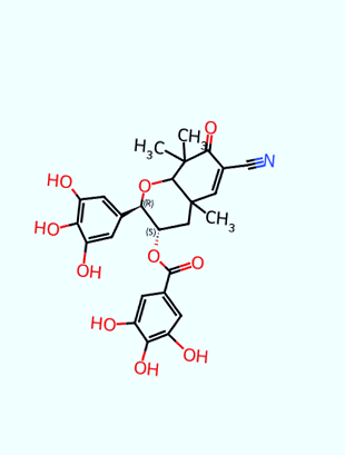 CC12C=C(C#N)C(=O)C(C)(C)C1O[C@H](c1cc(O)c(O)c(O)c1)[C@@H](OC(=O)c1cc(O)c(O)c(O)c1)C2